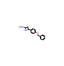 O=CC1CC(c2ccc(OCc3ccccc3)cc2)N1